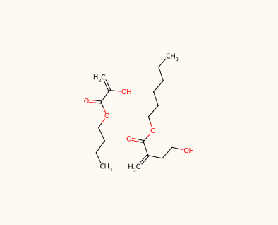 C=C(CCO)C(=O)OCCCCCC.C=C(O)C(=O)OCCCC